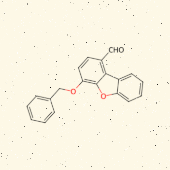 O=Cc1ccc(OCc2ccccc2)c2oc3ccccc3c12